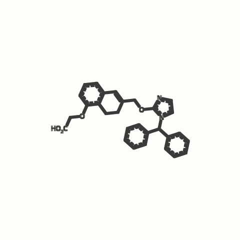 O=C(O)COc1cccc2c1CCC(COc1nccn1C(c1ccccc1)c1ccccc1)=C2